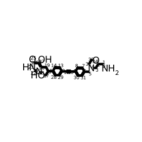 NCC1CN(Cc2ccc(C#Cc3ccc(C(CO)Cc4nc[nH]c(=O)c4O)cc3)cc2)CCO1